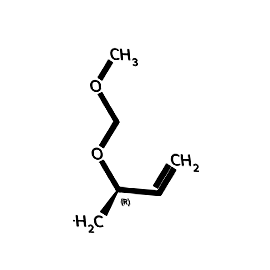 [CH2][C@H](C=C)OCOC